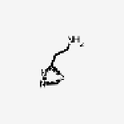 NCCc1nncs1